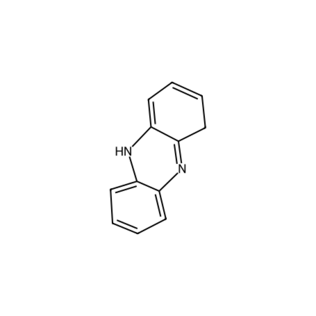 C1=CCC2=Nc3ccccc3NC2=C1